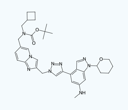 CNc1cc(-c2cn(Cc3cn4cc(CN(CC5CCC5)C(=O)OC(C)(C)C)ccc4n3)nn2)c2cnn(C3CCCCO3)c2c1